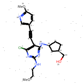 COCCNc1nc(Cl)c(C#Cc2ccc(OC)nc2)c(N[C@H]2CC[C@@H](CO)C2)n1